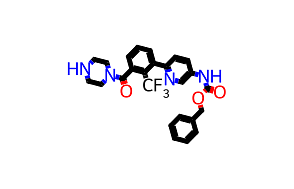 O=C(Nc1ccc(-c2cccc(C(=O)N3CCNCC3)c2C(F)(F)F)nc1)OCc1ccccc1